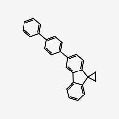 c1ccc(-c2ccc(-c3ccc4c(c3)-c3ccccc3C43CC3)cc2)cc1